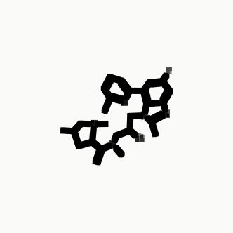 C=C(C1CC(C)CN1C)N(C)CC(CC)Cn1c(C)nc2cc(F)cc(-c3cccc(C)n3)c21